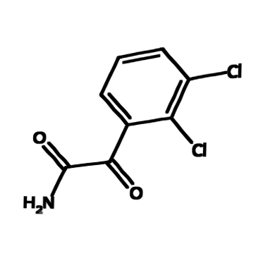 NC(=O)C(=O)c1cccc(Cl)c1Cl